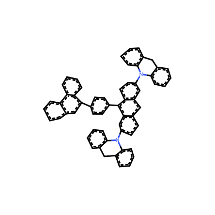 c1ccc2c(c1)Cc1ccccc1N2c1ccc2c(-c3ccc(-c4cc5ccccc5c5ccccc45)cc3)c3cc(N4c5ccccc5Cc5ccccc54)ccc3cc2c1